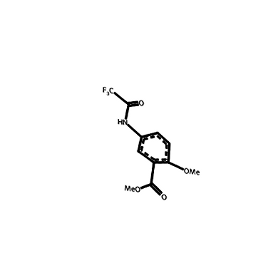 COC(=O)c1cc(NC(=O)C(F)(F)F)ccc1OC